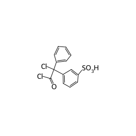 O=C(Cl)C(Cl)(c1ccccc1)c1cccc(S(=O)(=O)O)c1